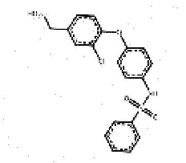 O=C(O)Cc1ccc(Oc2ccc(NS(=O)(=O)c3ccccc3)cc2)c(Cl)c1